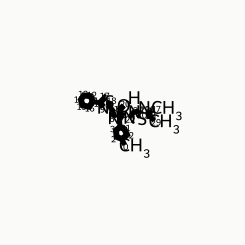 Cc1ccc(C2=NN(c3nc(-c4ccccc4)cs3)C(=O)/C2=N\Nc2nc(C)c(C)s2)cc1